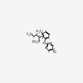 Cc1cccc(Oc2ncc(Cl)cn2)c1C(CCC(F)(F)F)S(=O)(=O)O